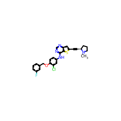 CN1CCC[C@@H]1C#Cc1cc2ncnc(Nc3ccc(OCc4cccc(F)c4)c(Cl)c3)c2s1